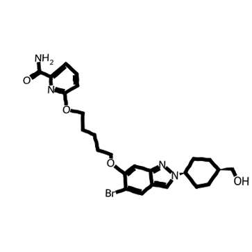 NC(=O)c1cccc(OCCCCCOc2cc3nn([C@H]4CC[C@H](CO)CC4)cc3cc2Br)n1